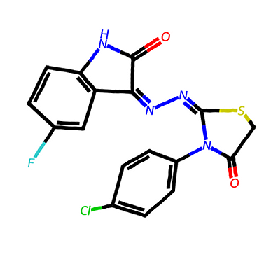 O=C1Nc2ccc(F)cc2C1=NN=C1SCC(=O)N1c1ccc(Cl)cc1